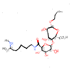 CCCCCCCCCCCCO[C@@H]1O[C@H](C(=O)O)[C@@H](O[C@@H]2O[C@H](C(=O)NCCCC[C@H](NC(C)(C)C)C(=O)O)[C@@H](O)[C@H](O)[C@H]2O)[C@H](O)[C@H]1O